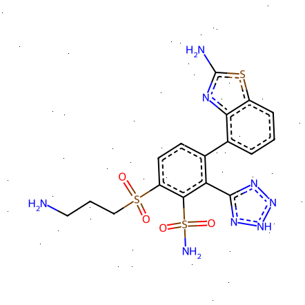 NCCCS(=O)(=O)c1ccc(-c2cccc3sc(N)nc23)c(-c2nn[nH]n2)c1S(N)(=O)=O